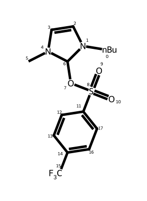 CCCCN1C=CN(C)C1OS(=O)(=O)c1ccc(C(F)(F)F)cc1